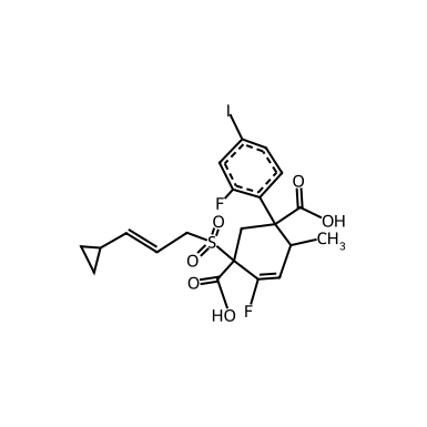 CC1C=C(F)C(C(=O)O)(S(=O)(=O)CC=CC2CC2)CC1(C(=O)O)c1ccc(I)cc1F